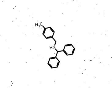 Cc1ccc(CNC(c2ccccc2)c2ccccc2)cc1